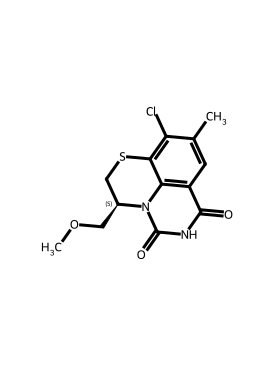 COC[C@H]1CSc2c(Cl)c(C)cc3c(=O)[nH]c(=O)n1c23